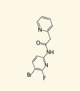 O=C(Cc1ccccn1)Nc1ccc(Br)c(F)n1